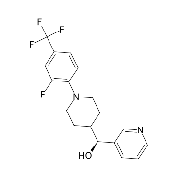 O[C@H](c1cccnc1)C1CCN(c2ccc(C(F)(F)F)cc2F)CC1